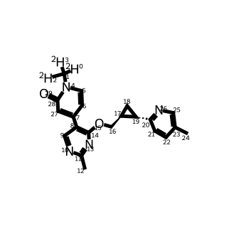 [2H]C([2H])([2H])n1ccc(-c2cnc(C)nc2OC[C@H]2C[C@@H]2c2ccc(C)cn2)cc1=O